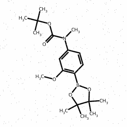 COc1cc(N(C)C(=O)OC(C)(C)C)ccc1B1OC(C)(C)C(C)(C)O1